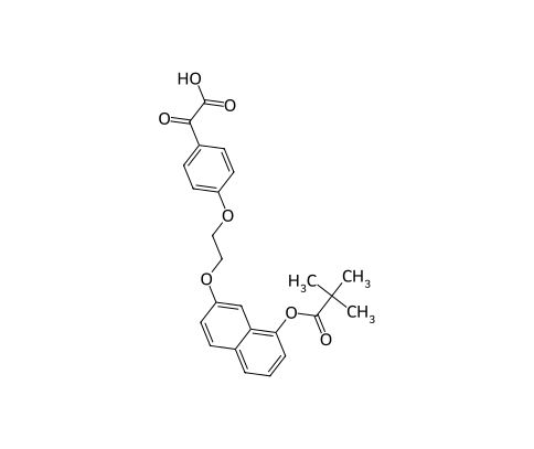 CC(C)(C)C(=O)Oc1cccc2ccc(OCCOc3ccc(C(=O)C(=O)O)cc3)cc12